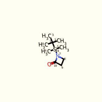 CC(C)(C)[Si](C)(C)N1CCC1=O